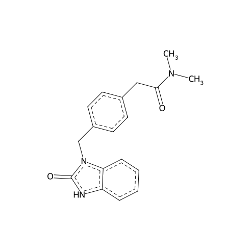 CN(C)C(=O)Cc1ccc(Cn2c(=O)[nH]c3ccccc32)cc1